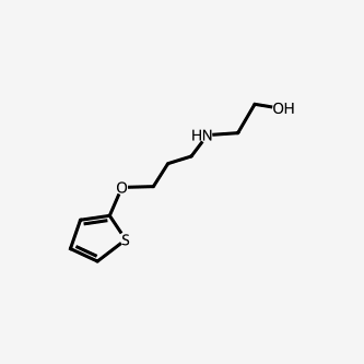 OCCNCCCOc1cccs1